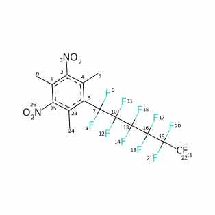 Cc1c([N+](=O)[O-])c(C)c(C(F)(F)C(F)(F)C(F)(F)C(F)(F)C(F)(F)C(F)(F)F)c(C)c1[N+](=O)[O-]